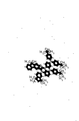 CC(C)(C)c1ccc(N(c2ccc(C(C)(C)C)cc2)c2ccc3c(c2)N(c2ccc(C(C)(C)C)cc2)c2cccc4c2B3c2sc3cc5c(cc3c2N4C2=CC3C(C=C2)C(C)(C)CC3(C)C)C2=C(CCC=C2)C5(C)C)cc1